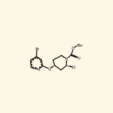 CC[C@H]1C[C@@H](Oc2cc(Br)ccn2)CCN1C(=O)OC(C)(C)C